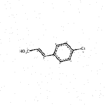 CCc1ccc(/C=C/C(=O)O)cc1